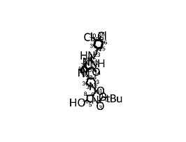 CC(C)(C)OC(=O)N1CC(O)CC1C(=O)N1CCC(n2ncc3nc(NCc4ccc(Cl)c(Cl)c4)[nH]c(=O)c32)CC1